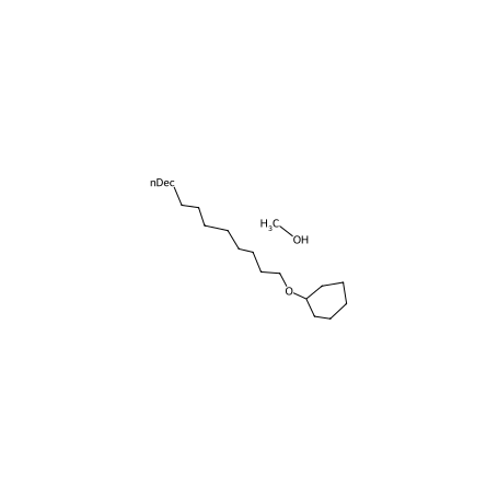 CCCCCCCCCCCCCCCCCCOC1CCCCC1.CO